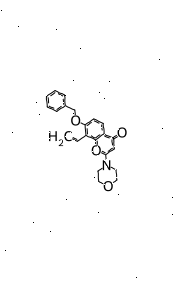 C=Cc1c(OCc2ccccc2)ccc2c(=O)cc(N3CCOCC3)oc12